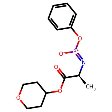 C[C@H](N=[P+]([O-])Oc1ccccc1)C(=O)OC1CCOCC1